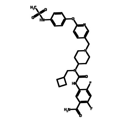 CS(=O)(=O)Nc1ccc(Oc2ccc(CN3CCC(N(CC4CCC4)C(=O)Nc4cc(C(N)=O)c(F)cc4F)CC3)cn2)cc1